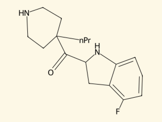 CCCC1(C(=O)C2Cc3c(F)cccc3N2)CCNCC1